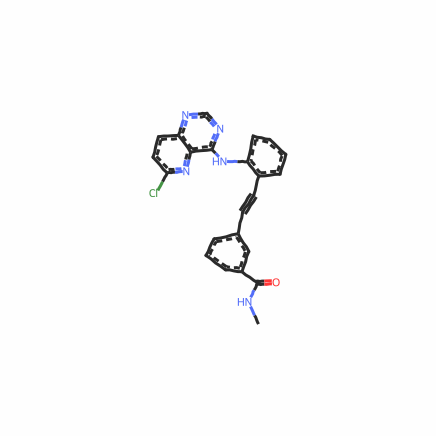 CNC(=O)c1cccc(C#Cc2ccccc2Nc2ncnc3ccc(Cl)nc23)c1